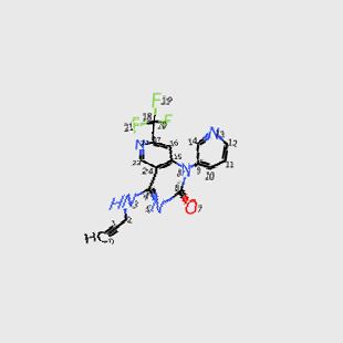 C#CCNc1nc(=O)n(-c2cccnc2)c2cc(C(F)(F)F)ncc12